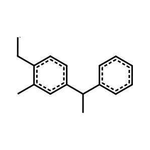 [CH2]Cc1ccc(C(C)c2ccccc2)cc1C